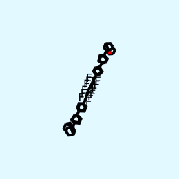 FC(F)(c1ccc(-c2ccc(C34CC5CC(CC(C5)C3)C4)cc2)cc1)C(F)(F)C(F)(F)C(F)(F)C(F)(F)C(F)(F)c1ccc(-c2ccc(C34CC5CC(CC(C5)C3)C4)cc2)cc1